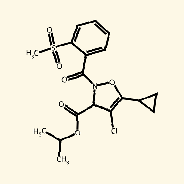 CC(C)OC(=O)C1C(Cl)=C(C2CC2)ON1C(=O)c1ccccc1S(C)(=O)=O